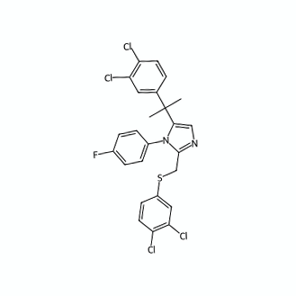 CC(C)(c1ccc(Cl)c(Cl)c1)c1cnc(CSc2ccc(Cl)c(Cl)c2)n1-c1ccc(F)cc1